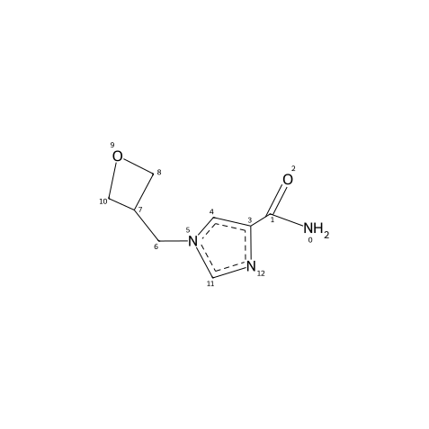 NC(=O)c1cn(CC2COC2)cn1